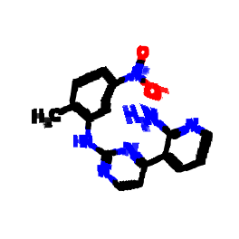 Cc1ccc([N+](=O)[O-])cc1Nc1nccc(-c2cccnc2N)n1